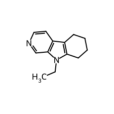 CCn1c2c(c3ccncc31)CCCC2